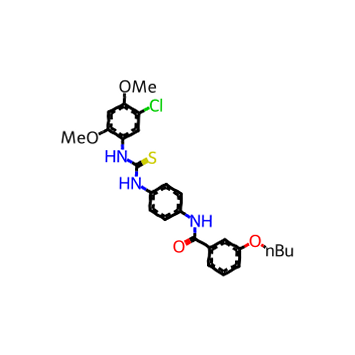 CCCCOc1cccc(C(=O)Nc2ccc(NC(=S)Nc3cc(Cl)c(OC)cc3OC)cc2)c1